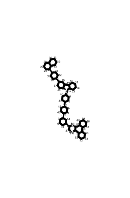 c1cc(-c2ccc(-c3ccc(-n4c5ccccc5c5cc(-c6ccc(-c7cccc8ccccc78)cc6)ccc54)cc3)cc2)cc(-c2cnc3c4ccccc4c4ccccc4c3n2)c1